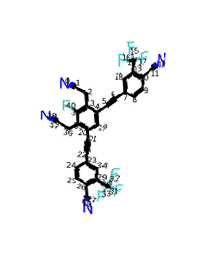 N#CCc1c(C#Cc2ccc(C#N)c(C(F)(F)F)c2)cc(C#Cc2ccc(C#N)c(C(F)(F)F)c2)c(CC#N)c1F